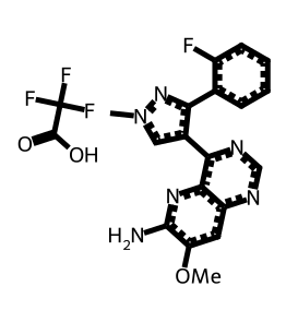 COc1cc2ncnc(-c3cn(C)nc3-c3ccccc3F)c2nc1N.O=C(O)C(F)(F)F